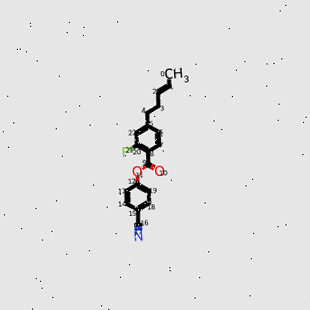 CC=CCCc1ccc(C(=O)Oc2ccc(C#N)cc2)c(F)c1